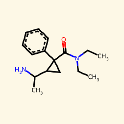 CCN(CC)C(=O)C1(c2ccccc2)CC1C(C)N